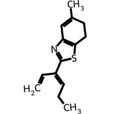 C=C/C(=C\CC)c1nc2c(s1)CCC(C)=C2